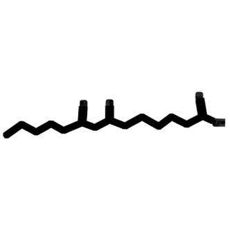 CCCCCC(=O)CC(=O)CCCCCC(=O)O